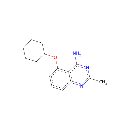 Cc1nc(N)c2c(OC3CCCCC3)cccc2n1